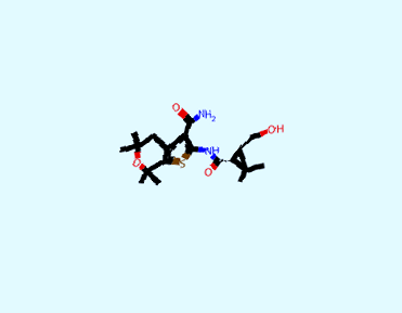 CC1(C)Cc2c(sc(NC(=O)[C@@H]3[C@@H](CO)C3(C)C)c2C(N)=O)C(C)(C)O1